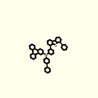 c1ccc(-c2ccc(N(c3cccc(-c4cccc5c4sc4c(-c6ccccc6)cccc45)c3)c3ccc4c5ccccc5c5ccccc5c4c3)cc2)cc1